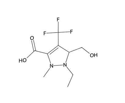 CCN1C(CO)C(C(F)(F)F)=C(C(=O)O)N1C